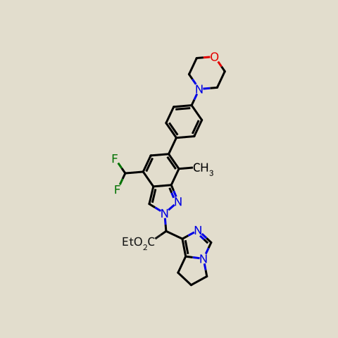 CCOC(=O)C(c1ncn2c1CCC2)n1cc2c(C(F)F)cc(-c3ccc(N4CCOCC4)cc3)c(C)c2n1